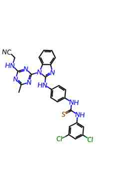 Cc1nc(NCC#N)nc(-n2c(Nc3ccc(NC(=S)Nc4cc(Cl)cc(Cl)c4)cc3)nc3ccccc32)n1